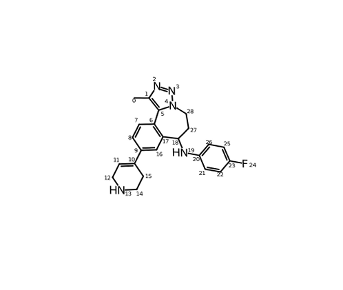 Cc1nnn2c1-c1ccc(C3=CCNCC3)cc1C(Nc1ccc(F)cc1)CC2